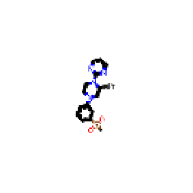 CC(C)C1CN(c2cccc(S(C)(=O)=O)c2)CCN1c1ncccn1